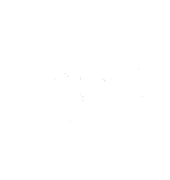 CCc1cc(=O)oc2nc(O/N=C(\C)c3ccsc3)[nH]c(=O)c12